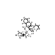 CC1CCC(c2ccccc2)=c2c1ccc1c2=CCc2ccccc2-1.c1cc[nH]c1